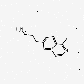 Cc1nccc2cc(CCCN)ccc12